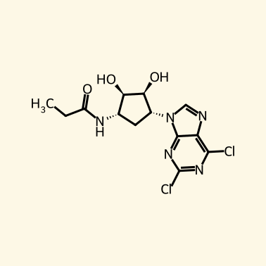 CCC(=O)N[C@H]1C[C@@H](n2cnc3c(Cl)nc(Cl)nc32)[C@H](O)[C@@H]1O